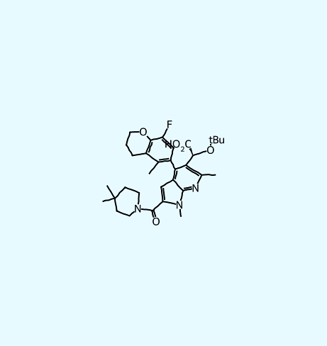 Cc1nc2c(cc(C(=O)N3CCC(C)(C)CC3)n2C)c(-c2cc(F)c3c(c2C)CCCO3)c1[C@H](OC(C)(C)C)C(=O)O